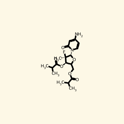 CC(C)C(=O)OCC1O[C@@H](n2ccc(N)cc2=O)[C@](C)(F)[C@@H]1OC(=O)C(C)C